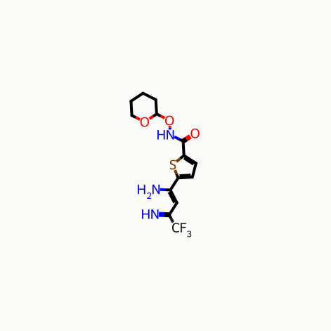 N=C(/C=C(\N)c1ccc(C(=O)NOC2CCCCO2)s1)C(F)(F)F